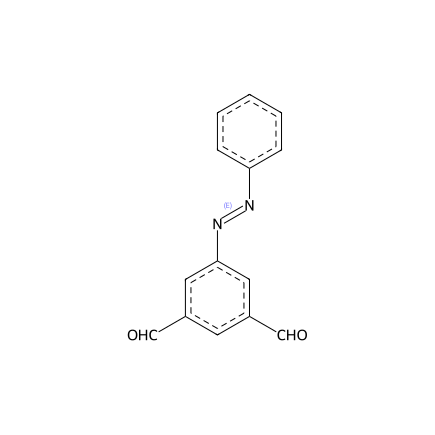 O=Cc1cc(C=O)cc(/N=N/c2ccccc2)c1